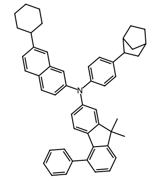 CC1(C)c2cc(N(c3ccc(C4CC5CCC4C5)cc3)c3ccc4ccc(C5CCCCC5)cc4c3)ccc2-c2c(-c3ccccc3)cccc21